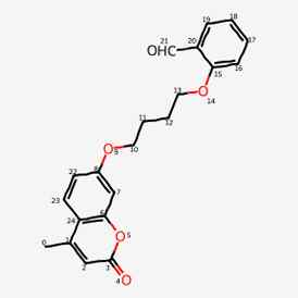 Cc1cc(=O)oc2cc(OCCCCOc3ccccc3C=O)ccc12